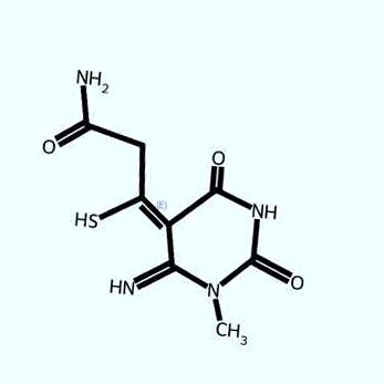 CN1C(=N)/C(=C(\S)CC(N)=O)C(=O)NC1=O